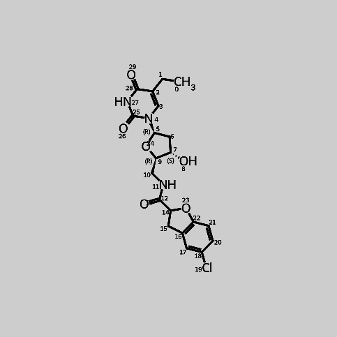 CCc1cn([C@H]2C[C@H](O)[C@@H](CNC(=O)C3Cc4cc(Cl)ccc4O3)O2)c(=O)[nH]c1=O